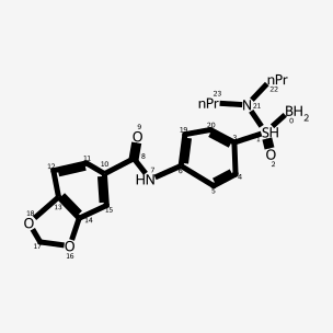 B[SH](=O)(c1ccc(NC(=O)c2ccc3c(c2)OCO3)cc1)N(CCC)CCC